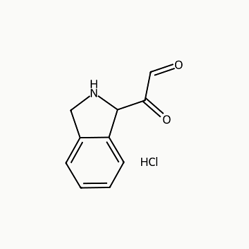 Cl.O=CC(=O)C1NCc2ccccc21